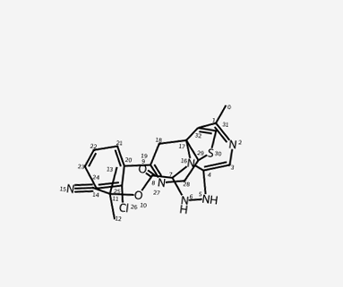 CC1=NC=C2NNC(C(=O)OC(C)(C)C#N)N2C23CC(c4ccccc4Cl)=NCC2SC=C13